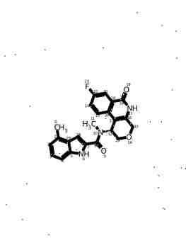 Cc1cccc2[nH]c(C(=O)N(C)[C@@H]3COCc4[nH]c(=O)c5cc(F)ccc5c43)cc12